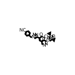 Cn1c(=O)c(-c2cn(Cc3ccc(C#N)cc3)nn2)cc2cnnc(OCC3(S(=O)(=O)C4CC4)CC3)c21